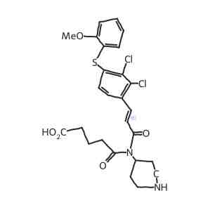 COc1ccccc1Sc1ccc(/C=C/C(=O)N(C(=O)CCCC(=O)O)C2CCNCC2)c(Cl)c1Cl